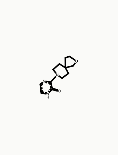 O=c1[nH][c]cnc1N1CCC2(CCOC2)CC1